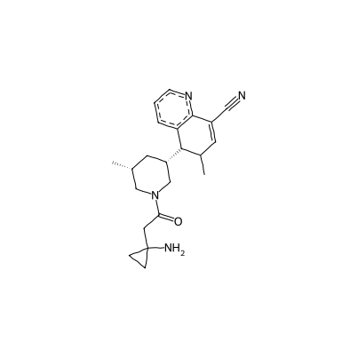 CC1C=C(C#N)c2ncccc2C1[C@H]1C[C@@H](C)CN(C(=O)CC2(N)CC2)C1